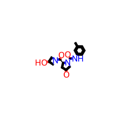 Cc1cccc(NC(=O)N2CC(=O)C[C@H]2C(=O)N2CC(O)C2)c1